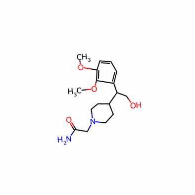 COc1cccc(C(CO)C2CCN(CC(N)=O)CC2)c1OC